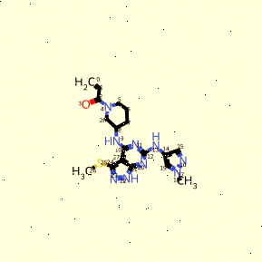 C=CC(=O)N1CCCC(Nc2nc(Nc3cnn(C)c3)nc3[nH]nc(SC)c23)C1